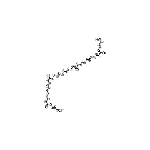 O=C(CCSCSCSCCC(=O)SCSCO)SCCSCSCSCC[S+]([O-])CCCSCSCSCCC(=O)SCSCO